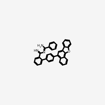 N=C(/N=C(\N)c1ccccc1)c1ccccc1-c1ccc(-c2cc3c4ccccc4oc3c3ccccc23)cc1